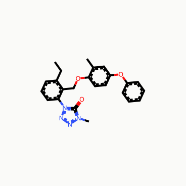 CCc1cccc(-n2nnn(C)c2=O)c1COc1ccc(Oc2ccccc2)cc1C